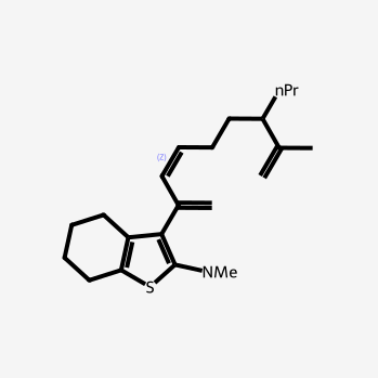 C=C(/C=C\CCC(CCC)C(=C)C)c1c(NC)sc2c1CCCC2